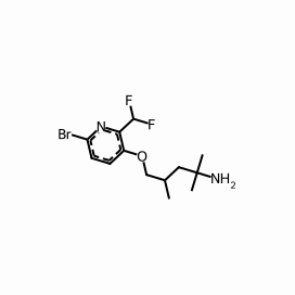 CC(COc1ccc(Br)nc1C(F)F)CC(C)(C)N